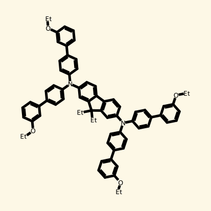 CCOc1cccc(-c2ccc(N(c3ccc(-c4cccc(OCC)c4)cc3)c3ccc4c(c3)C(CC)(CC)c3cc(N(c5ccc(-c6cccc(OCC)c6)cc5)c5ccc(-c6cccc(OCC)c6)cc5)ccc3-4)cc2)c1